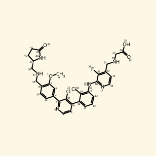 COc1cc(-c2nccc(-c3cccc(Nc4nccc(CNCC(=O)O)c4F)c3Cl)c2Cl)ccc1CNC[C@H]1CCC(=O)N1